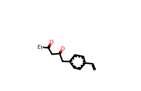 C=Cc1ccc(CC(=O)CC(=O)CC)cc1